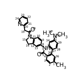 Cc1ccc(C(=O)Nc2ccc3c(c2)CCN3C(=O)Cc2ccccn2)c(-c2ccc(N(C)C)cc2)c1